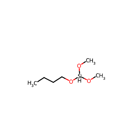 CCCCO[SiH](OC)OC